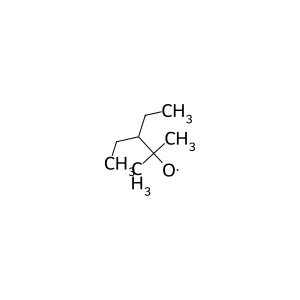 CCC(CC)C(C)(C)[O]